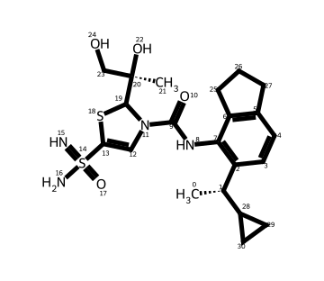 C[C@H](c1ccc2c(c1NC(=O)N1C=C(S(=N)(N)=O)SC1[C@](C)(O)CO)CCC2)C1CC1